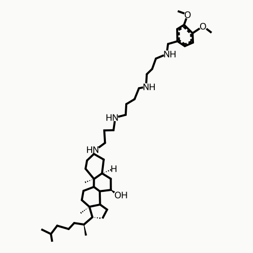 COc1ccc(CNCCCNCCCCNCCCN[C@@H]2CC[C@]3(C)C4CC[C@@]5(C)C(CC[C@@H]5[C@@H](C)CCCC(C)C)C4[C@H](O)C[C@@H]3C2)cc1OC